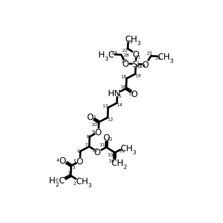 C=C(C)C(=O)OCC(COC(=O)CCCNC(=O)CC[Si](OCC)(OCC)OCC)OC(=O)C(=C)C